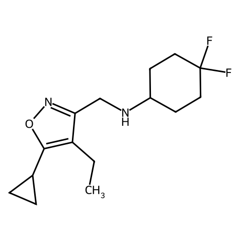 CCc1c(CNC2CCC(F)(F)CC2)noc1C1CC1